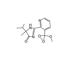 COC1(c2cccnc2C2=NC(=O)C(C)(C(C)C)N2)OO1